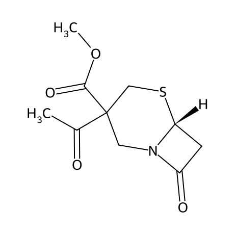 COC(=O)C1(C(C)=O)CS[C@@H]2CC(=O)N2C1